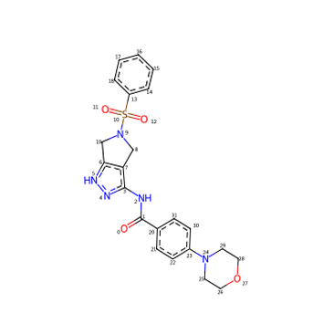 O=C(Nc1n[nH]c2c1CN(S(=O)(=O)c1ccccc1)C2)c1ccc(N2CCOCC2)cc1